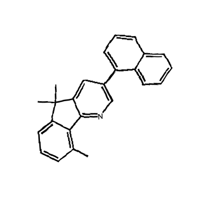 Cc1cccc2c1-c1ncc(-c3cccc4ccccc34)cc1C2(C)C